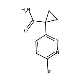 NC(=O)C1(c2ccc(Br)nn2)CC1